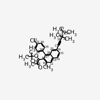 CC(=O)C(OC(C)(C)C)c1c(C)cc2ccc(C#CC(C)(C)N(C)C)cc2c1-c1ccc(Cl)cc1